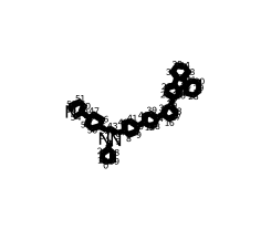 c1ccc(-c2nc(-c3ccc(-c4ccc(-c5cccc(-c6ccc7c(c6)C6(CCCCC6)c6ccccc6-7)c5)cc4)cc3)cc(-c3ccc(-c4cccnc4)cc3)n2)cc1